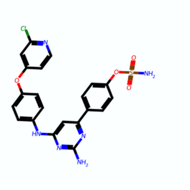 Nc1nc(Nc2ccc(Oc3ccnc(Cl)c3)cc2)cc(-c2ccc(OS(N)(=O)=O)cc2)n1